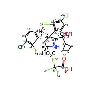 CC(O)(C1CCC1)[C@H]1N[C@@H](C(=O)O)[C@H](c2cccc(Cl)c2F)[C@@]1(C#N)c1ccc(Cl)cc1F.O=C(O)C(F)(F)F